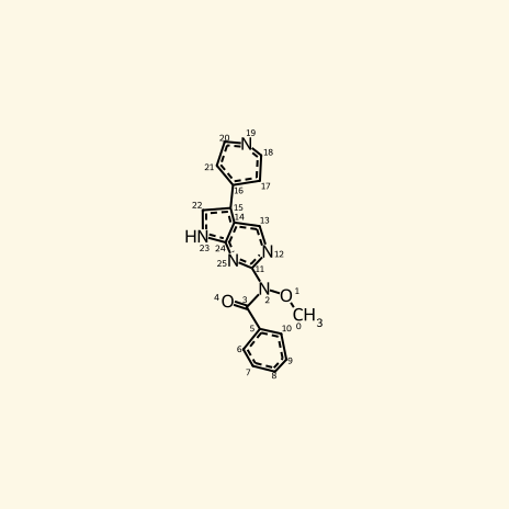 CON(C(=O)c1ccccc1)c1ncc2c(-c3ccncc3)c[nH]c2n1